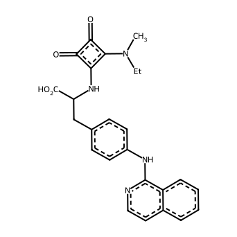 CCN(C)c1c(NC(Cc2ccc(Nc3nccc4ccccc34)cc2)C(=O)O)c(=O)c1=O